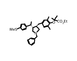 CCOC(=O)C(C)(C)Oc1c(C)cc(C[C@H]2CN(Cc3ccccc3)C[C@@H]2C(C)c2ccc(SC)cc2)cc1C